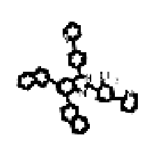 CC1C=C(c2ccccn2)C=CC1c1nc(-c2ccc(-c3ccccn3)cc2)c2cc(-c3ccc4ccccc4c3)cc(-c3ccc4ccccc4c3)c2n1